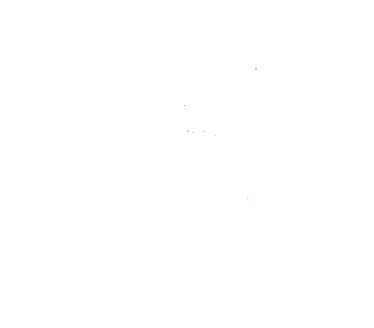 CCCCCS(=O)(=O)NC(=O)/C=C/c1ccc(O)cc1Oc1ncc(C(F)(F)F)cc1Cl.O